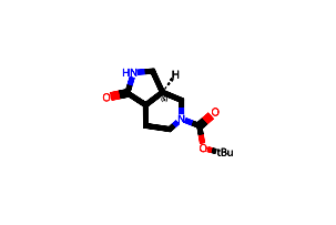 CC(C)(C)OC(=O)N1CCC2C(=O)NC[C@H]2C1